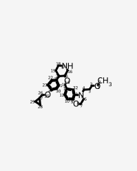 COCCCN1CCOc2ccc(COC3CNCCC3c3ccc(OCC4CC4)cc3)cc21